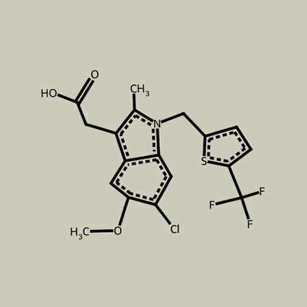 COc1cc2c(CC(=O)O)c(C)n(Cc3ccc(C(F)(F)F)s3)c2cc1Cl